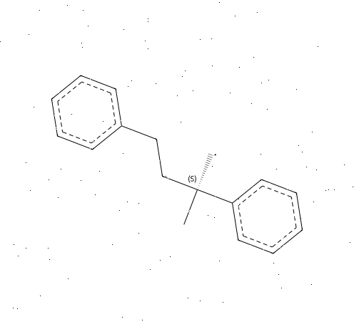 [CH2][C@](C)(CCc1ccccc1)c1ccccc1